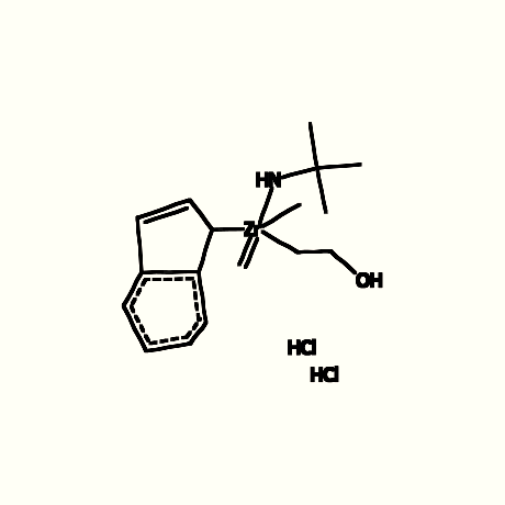 Cl.Cl.[CH2]=[Zr]([CH3])([CH2]CO)([NH]C(C)(C)C)[CH]1C=Cc2ccccc21